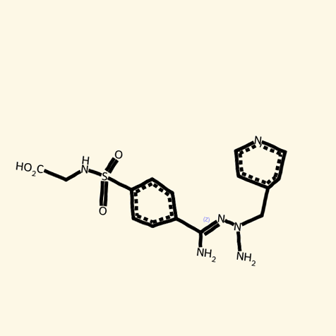 N/C(=N\N(N)Cc1ccncc1)c1ccc(S(=O)(=O)NCC(=O)O)cc1